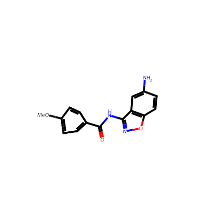 COc1ccc(C(=O)Nc2noc3ccc(N)cc23)cc1